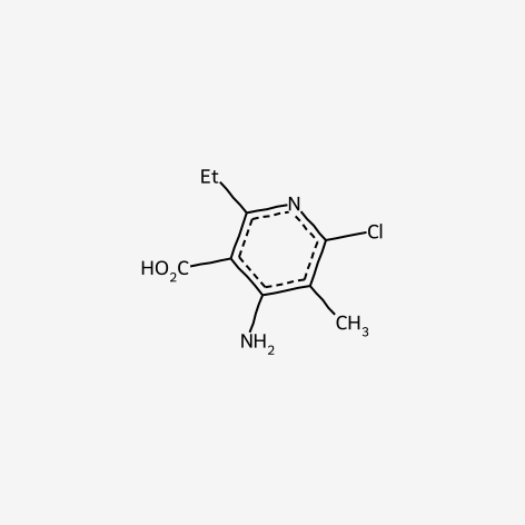 CCc1nc(Cl)c(C)c(N)c1C(=O)O